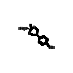 CCCCCCC[C@]1(C)OC[C@@H](c2ccc(CCCC)cc2)CO1